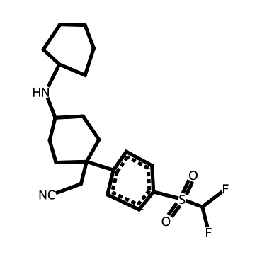 N#CCC1(c2c[c]c(S(=O)(=O)C(F)F)cc2)CCC(NC2CCCCC2)CC1